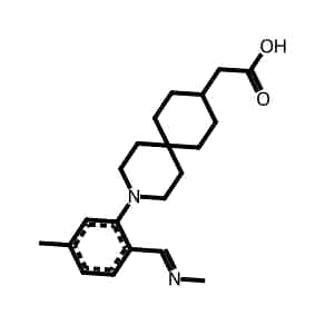 C/N=C/c1ccc(C)cc1N1CCC2(CCC(CC(=O)O)CC2)CC1